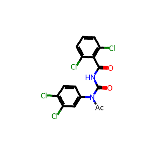 CC(=O)N(C(=O)NC(=O)c1c(Cl)cccc1Cl)c1ccc(Cl)c(Cl)c1